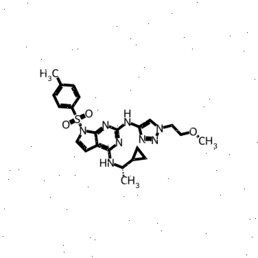 COCCn1cc(Nc2nc(N[C@@H](C)C3CC3)c3ccn(S(=O)(=O)c4ccc(C)cc4)c3n2)nn1